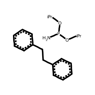 CC(C)OP(N)OC(C)C.c1ccc(CCc2ccccc2)cc1